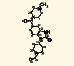 CN1CCN(C(=O)c2ccc3c(c2)[nH]c(=O)n3C2CCN(C=O)CC2)CC1